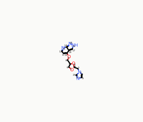 c1cn(CC2OCC(COc3ccnc4n[nH]cc34)O2)cn1